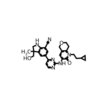 CC1(CO)CNc2c(C#N)cc(-c3ccnc(Nc4cc5c(n(CCC6CC6)c4=O)CCOC5)n3)cc21